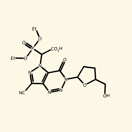 CCOP(=O)(OCC)C(C(=O)O)n1nc(C#N)c2nnn(C3CCC(CO)O3)c(=O)c21